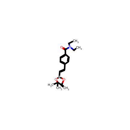 C=C1OB(/C=C/c2ccc(C(=O)N(CC)CC)cc2)OC1(C)C